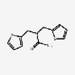 NC(=O)N(Cc1cccs1)Cc1cccs1